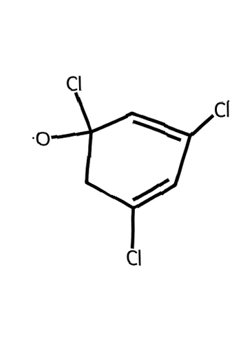 [O]C1(Cl)C=C(Cl)C=C(Cl)C1